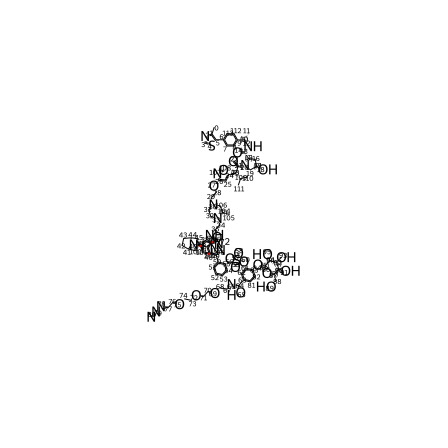 Cc1ncsc1-c1ccc([C@H](C)NC(=O)[C@@H]2C[C@@H](O)CN2C(=O)[C@@H](c2cc(OCCN3CCN(CCOc4cc(N5C6CCC5CN(c5cc(-c7ccccc7OS(=O)(=O)Oc7cc(C(=O)NCCOCCOCCOCCN=[N+]=[N-])ccc7O[C@@H]7O[C@H](CO)[C@H](O)[C@H](O)[C@H]7O)nnc5N)C6)ccn4)[C@H](C)C3)no2)C(C)C)cc1